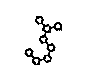 c1ccc(-c2cccc(-c3cccc(-c4cccc(-c5cccc(-c6nc(-c7ccncc7)nc(-c7cccnc7)n6)c5)c4)c3)c2)cc1